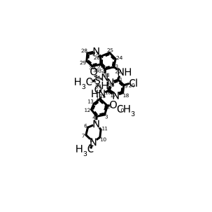 COc1cc(N2CCN(C)CC2)ccc1Nc1ncc(Cl)c(Nc2ccc3ncccc3c2NS(C)(=O)=O)n1